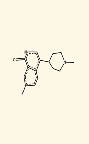 CN1CCC(c2c[nH]c(=O)c3cc(F)ccc23)CC1